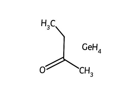 CCC(C)=O.[GeH4]